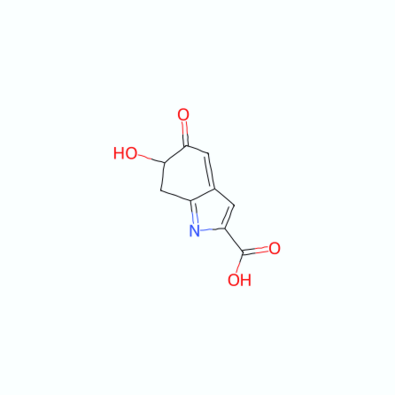 O=C(O)C1=CC2=CC(=O)C(O)CC2=N1